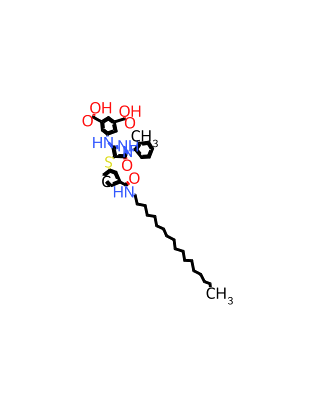 CCCCCCCCCCCCCCCCCCNC(=O)c1cccc(Sc2c(Nc3cc(C(=O)O)cc(C(=O)O)c3)[nH]n(-c3ccccc3C)c2=O)c1